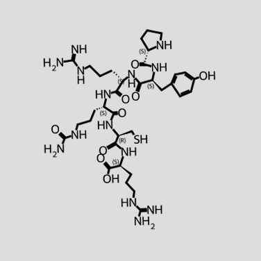 N=C(N)NCCC[C@H](NC(=O)[C@H](CS)NC(=O)[C@H](CCCNC(N)=O)NC(=O)[C@H](CCCNC(=N)N)NC(=O)[C@H](Cc1ccc(O)cc1)NC(=O)[C@@H]1CCCN1)C(=O)O